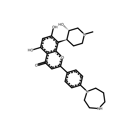 CN1CC[C@@H](c2c(O)cc(O)c3c(=O)cc(-c4ccc(N5CCCNCC5)cc4)oc23)[C@H](O)C1